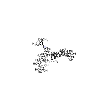 COc1cc(/C=C/C(=O)O[C@@H]2[C@H](O)[C@@H](O[C@@H]3O[C@@H](C)[C@H](O[C@@H]4OC[C@@H](O[C@@H]5O[C@H](CO)[C@H](O)[C@H](O)[C@H]5O)[C@H](O)[C@H]4O)[C@@H](O)[C@H]3O)[C@H](OC(=O)[C@]34CCC(C)(C)C[C@H]3C3=CC[C@@H]5[C@@]6(C)C[C@H](O)[C@H](O[C@@H]7O[C@H](CO)[C@@H](O)[C@H](O)[C@H]7O)[C@@](C)(C(=O)O)[C@@H]6CC[C@@]5(C)[C@]3(CO)CC4)O[C@@H]2C)cc(OC)c1OC